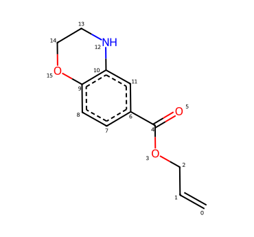 C=CCOC(=O)c1ccc2c(c1)NCCO2